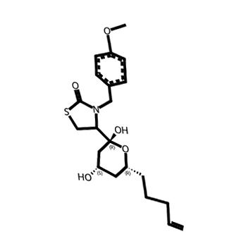 C=CCCC[C@@H]1C[C@H](O)C[C@](O)(C2CSC(=O)N2Cc2ccc(OC)cc2)O1